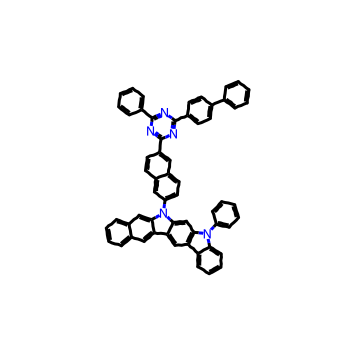 c1ccc(-c2ccc(-c3nc(-c4ccccc4)nc(-c4ccc5cc(-n6c7cc8ccccc8cc7c7cc8c9ccccc9n(-c9ccccc9)c8cc76)ccc5c4)n3)cc2)cc1